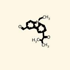 CCn1c2ccc(C=O)cc2c2cc(C(=O)C(C)C)ccc21